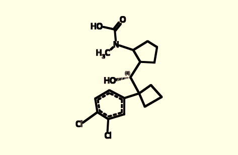 CN(C(=O)O)C1CCCC1[C@@H](O)C1(c2ccc(Cl)c(Cl)c2)CCC1